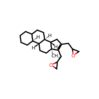 C[C@]12CC[C@H]3[C@@H](CCC4CCCC[C@@H]43)[C@@H]1CC(CC1CO1)=C2CC1CO1